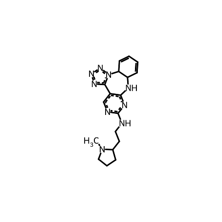 CN1CCCC1CCNc1ncc2c(n1)NC1C=CC=CC1n1nnnc1-2